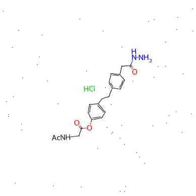 CC(=O)NCC(=O)Oc1ccc(CCc2ccc(CC(=O)NN)cc2)cc1.Cl